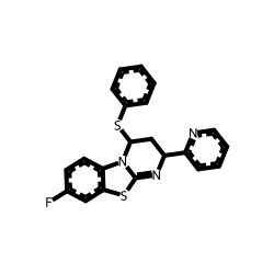 Fc1ccc2c(c1)SC1=NC(c3ccccn3)CC(Sc3ccccc3)N12